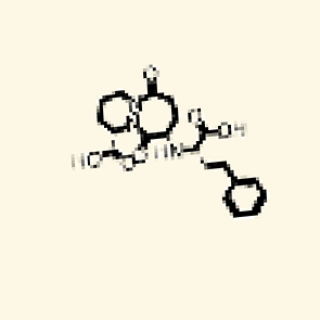 O=C(O)[C@H](CCc1ccccc1)N[C@H]1CCC(=O)N2CCC[C@@H](C(=O)O)N2C1=O